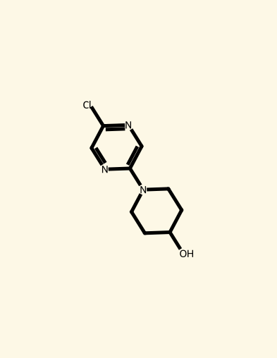 OC1CCN(c2cnc(Cl)cn2)CC1